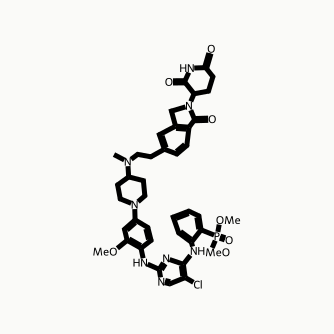 COc1cc(N2CCC(N(C)CCc3ccc4c(c3)CN(C3CCC(=O)NC3=O)C4=O)CC2)ccc1Nc1ncc(Cl)c(Nc2ccccc2P(=O)(OC)OC)n1